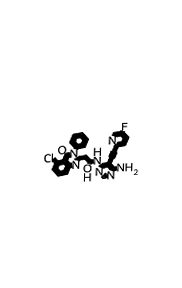 Nc1ncnc(NC(O)Cc2nc3cccc(Cl)c3c(=O)n2-c2ccccc2)c1C#Cc1ccc(F)cn1